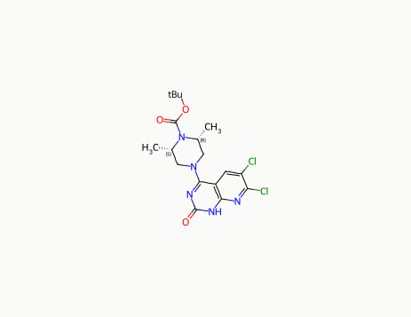 C[C@@H]1CN(c2nc(=O)[nH]c3nc(Cl)c(Cl)cc23)C[C@H](C)N1C(=O)OC(C)(C)C